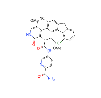 COCCC(C(=O)Nc1ccc(C(N)=O)nc1)c1c(-c2cc3c(cc2C#N)Cc2cccc(Cl)c2-3)c(OC)c[nH]c1=O